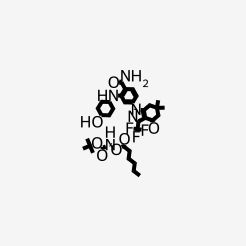 CC1(C)CC(=O)c2c(C(F)(F)F)nn(-c3ccc(C(N)=O)c(NC4CCC(O)CC4)c3)c2C1.CCCCCC(=O)ONC(=O)OC(C)(C)C